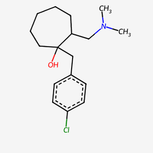 CN(C)CC1CCCCCC1(O)Cc1ccc(Cl)cc1